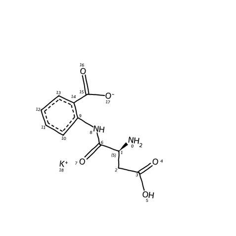 N[C@@H](CC(=O)O)C(=O)Nc1ccccc1C(=O)[O-].[K+]